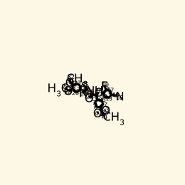 CCS(=O)(=O)c1ccc(C(Oc2ccc(C#N)cc2F)C(=O)Nc2nc3cc(OC)c(OC)cc3s2)cc1